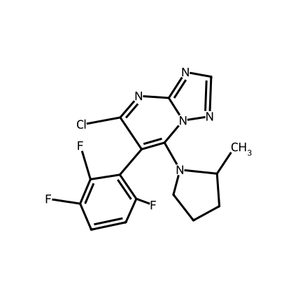 CC1CCCN1c1c(-c2c(F)ccc(F)c2F)c(Cl)nc2ncnn12